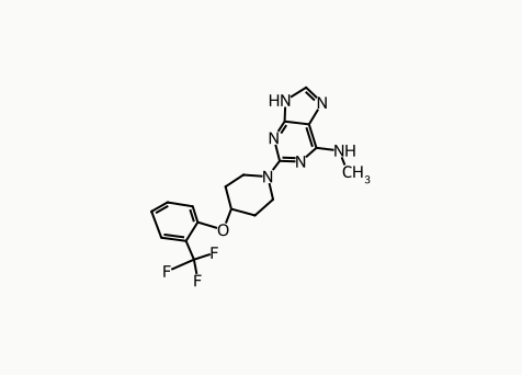 CNc1nc(N2CCC(Oc3ccccc3C(F)(F)F)CC2)nc2[nH]cnc12